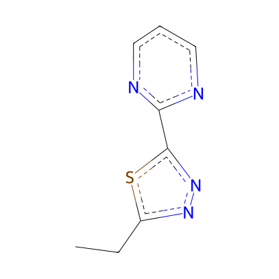 CCc1nnc(-c2ncccn2)s1